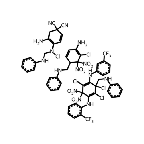 N#CC1(C#N)C=CC(N(Cl)CNc2ccccc2)=C(N)C1.NC1=C(Cl)C([N+](=O)[O-])([N+](=O)[O-])C(CNc2ccccc2)C=C1.O=[N+]([O-])C1([N+](=O)[O-])C(Cl)=C(Nc2cccc(C(F)(F)F)c2)C(Cl)(CNc2ccccc2)C(Cl)=C1Nc1ccccc1C(F)(F)F